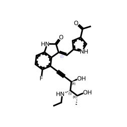 CCN[C@H]([C@H](O)C#Cc1c(F)ccc2c1/C(=C/c1cc(C(C)=O)c[nH]1)C(=O)N2)[C@@H](C)O